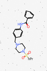 CCCS(=O)(=O)N1CCN(Cc2ccc(NC(=O)c3ccccc3)cc2)CC1